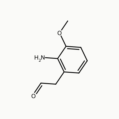 COc1cccc(CC=O)c1N